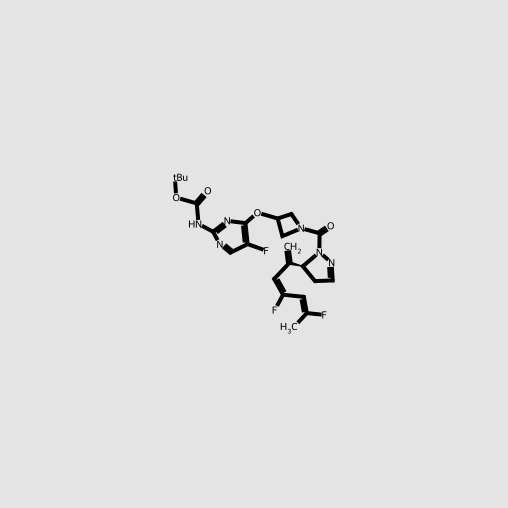 C=C(/C=C(F)\C=C(/C)F)[C@@H]1CC=NN1C(=O)N1CC(Oc2nc(NC(=O)OC(C)(C)C)ncc2F)C1